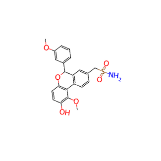 COc1cccc(C2Oc3ccc(O)c(OC)c3-c3ccc(CS(N)(=O)=O)cc32)c1